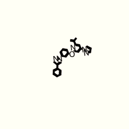 C=C(C)c1cc(-n2cccn2)cc(Oc2cccc(-n3cc(-c4ccccc4)cn3)c2)n1